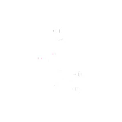 C=C(C)C(=O)OCC(=O)OC[SiH2]C